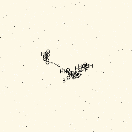 CC(C)(C)C(NC(=O)c1cc2cc(C(F)(F)P(=O)(O)O)ccc2s1)C(=O)N1CCC[C@H]1C(=O)N(CCC(=O)NCCCCCCCCCC#Cc1cccc2c1CN(C1CCC(=O)NC1=O)C2=O)c1ccc(Br)cc1